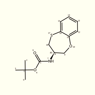 CC(C)(C)OC(=O)N[C@@H]1COc2ccccc2SC1